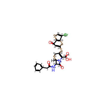 O=C(Cc1ccccc1)NC1C(=O)N2C(C(=O)O)=C(Sc3cc(=O)c4scc(Br)c4s3)CS[C@@H]12